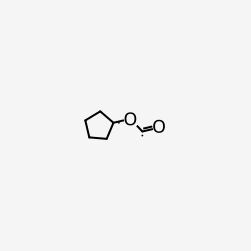 O=[C]O[C]1CCCC1